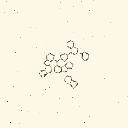 c1ccc(-c2cc(-c3ccc(N(c4cccc5sc6c7ccccc7ccc6c45)c4cccc5c4c4ccccc4n5-c4ccc5ccccc5c4)cc3)c3ccccc3c2)cc1